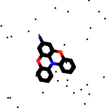 Ic1cc2c3c(c1)Oc1ccccc1N3c1ccccc1O2